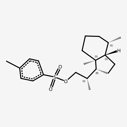 Cc1ccc(S(=O)(=O)OC[C@@H](C)[C@H]2CC[C@H]3[C@@H](C)CCC[C@]23C)cc1